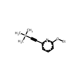 CCOc1cccc(C#C[Si](C)(C)C)n1